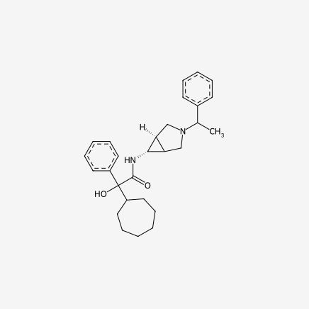 CC(c1ccccc1)N1CC2[C@H](C1)[C@H]2NC(=O)C(O)(c1ccccc1)C1CCCCCC1